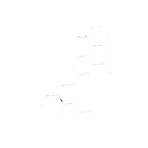 CCN(CC(C)C)[C@@H](C(N)=O)C(=O)Nc1ccc(N2CCOCC2=O)c(C(F)F)c1